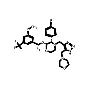 CSc1cc([C@@H](C)O[C@H]2OCCN(Cc3nn[nH]c3CN3CCOCC3)[C@H]2c2ccc(F)cc2)cc(C(F)(F)F)c1